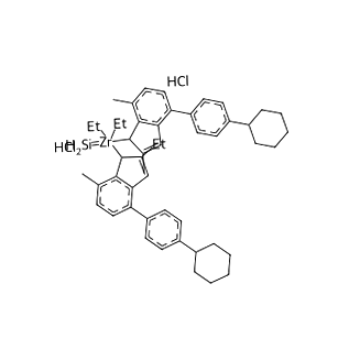 CCC1=Cc2c(-c3ccc(C4CCCCC4)cc3)ccc(C)c2[CH]1[Zr](=[SiH2])([CH2]C)([CH2]C)[CH]1C(C)=Cc2c(-c3ccc(C4CCCCC4)cc3)ccc(C)c21.Cl.Cl